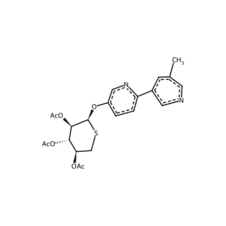 CC(=O)O[C@@H]1[C@@H](OC(C)=O)[C@@H](Oc2ccc(-c3cncc(C)c3)nc2)SC[C@H]1OC(C)=O